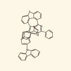 c1ccc(C2=NC(c3cccc4sc5cccc(-c6cccc7c6sc6ccc(-n8c9ccccc9c9ccccc98)cc67)c5c34)=NC(c3ccccc3)N2)cc1